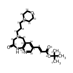 CC(C)(C)OC(=O)C=Cc1cnc2c(c1)CN(CCCN1CCOCC1)CC(=O)N2